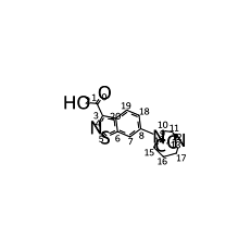 O=C(O)c1nsc2cc(N3CCN4CCC3CC4)ccc12